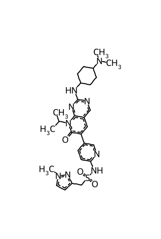 CC(C)n1c(=O)c(-c2ccc(NS(=O)(=O)Cc3ccn(C)n3)nc2)cc2cnc(NC3CCC(N(C)C)CC3)nc21